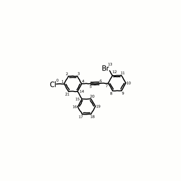 Clc1ccc(C#Cc2ccccc2Br)c(-c2ccccc2)c1